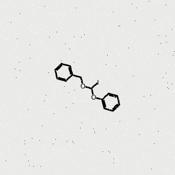 IC(OCc1ccccc1)Oc1ccccc1